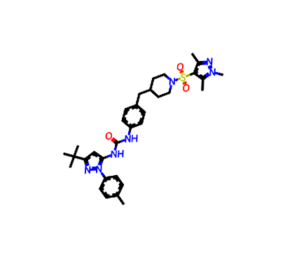 Cc1ccc(-n2nc(C(C)(C)C)cc2NC(=O)Nc2ccc(CC3CCN(S(=O)(=O)c4c(C)nn(C)c4C)CC3)cc2)cc1